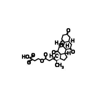 CC(CCC(=O)OCCS(=O)(=O)O)[C@H]1CC[C@H]2[C@@H]3C(=O)C[C@@H]4CC(=O)CC[C@]4(C)[C@H]3CC(=O)[C@]12C